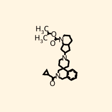 CC(C)OC(=O)N1CCCC2CC(N3CCC4(CC3)CN(C(=O)C3CC3)Cc3ccccc34)CC21